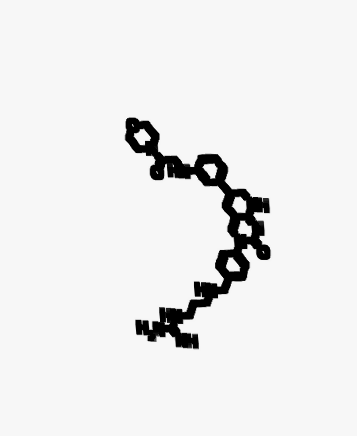 N=C(N)NCCCNCc1ccc(-n2cc3c(nc2=O)NCC(c2cccc(NCC(=O)N4CCOCC4)c2)=C3)cc1